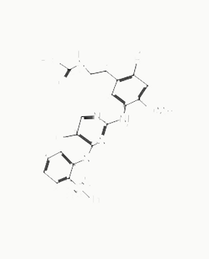 COc1cc(Br)c(CCNC(=O)C(F)(F)F)cc1Nc1ncc(Cl)c(Nc2ccccc2S(=O)(=O)C(C)C)n1